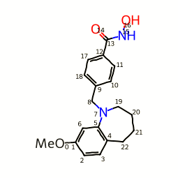 COc1ccc2c(c1)N(Cc1ccc(C(=O)NO)cc1)CCCC2